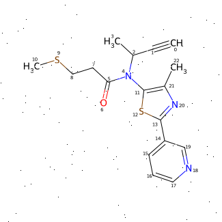 C#CC(C)N(C(=O)CCSC)c1sc(-c2cccnc2)nc1C